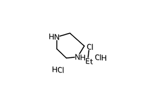 C1CNCCN1.CCCl.Cl.Cl